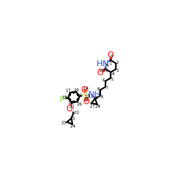 O=C1CCC(CCCCCC2(NS(=O)(=O)c3ccc(F)c(OCC4CC4)c3)CC2)C(=O)N1